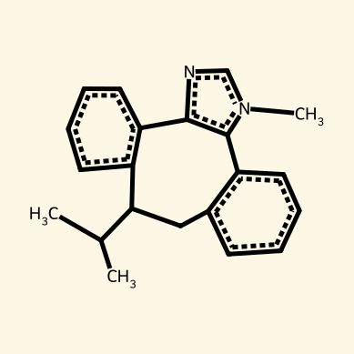 CC(C)C1Cc2ccccc2-c2c(ncn2C)-c2ccccc21